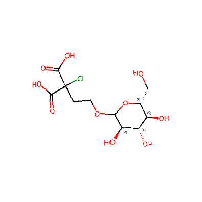 O=C(O)C(Cl)(CCOC1O[C@H](CO)[C@@H](O)[C@H](O)[C@H]1O)C(=O)O